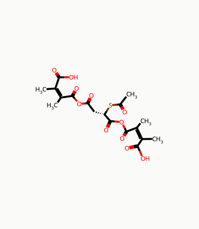 CC(=O)S[C@@H](CC(=O)OC(=O)/C(C)=C(/C)C(=O)O)C(=O)OC(=O)/C(C)=C(/C)C(=O)O